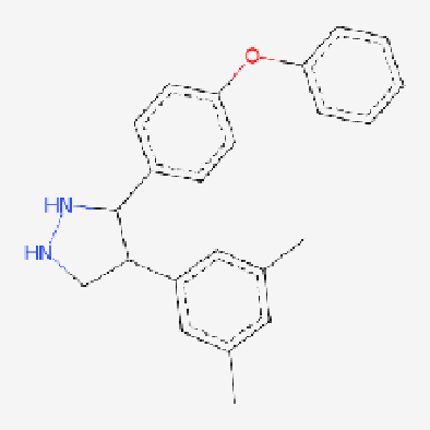 Cc1cc(C)cc(C2CNNC2c2ccc(Oc3ccccc3)cc2)c1